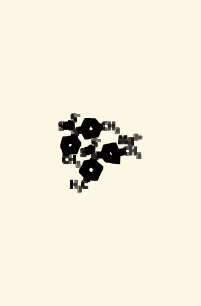 Cc1ccc(N(C(=S)[S-])c2ccc(C)cc2)cc1.Cc1ccc(N(C(=S)[S-])c2ccc(C)cc2)cc1.[Mg+2]